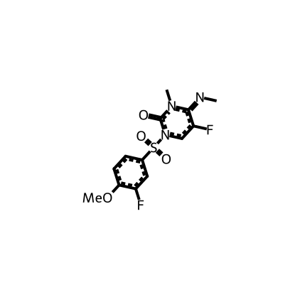 C/N=c1\c(F)cn(S(=O)(=O)c2ccc(OC)c(F)c2)c(=O)n1C